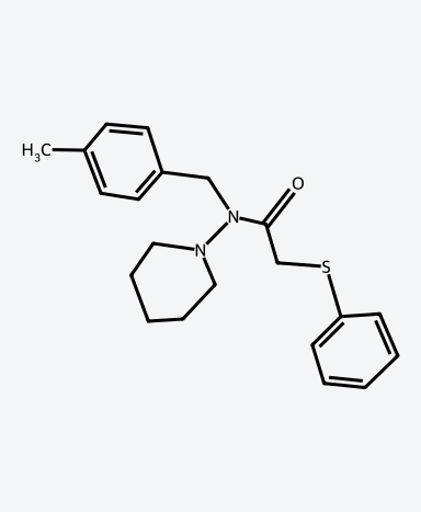 Cc1ccc(CN(C(=O)CSc2ccccc2)N2CCCCC2)cc1